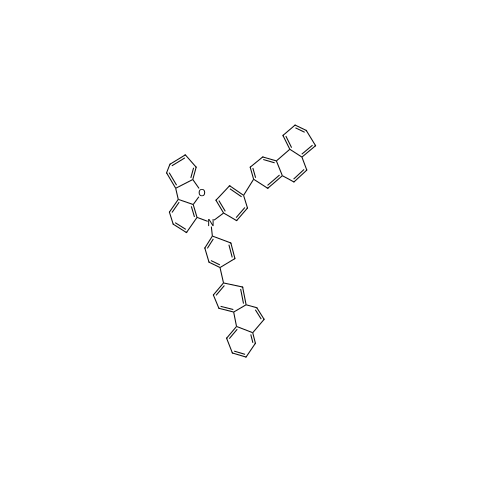 c1ccc2c(c1)ccc1cc(-c3ccc(N(c4ccc(-c5ccc6c(ccc7ccccc76)c5)cc4)c4cccc5c4oc4ccccc45)cc3)ccc12